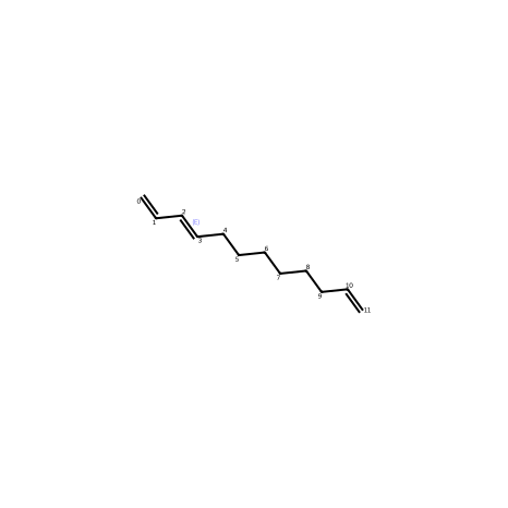 C=C/C=C/CCCCCCC=C